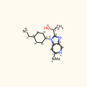 CNc1cc2c(cn1)nc([C@H](C)O)n2C1CCC(CC#N)CC1